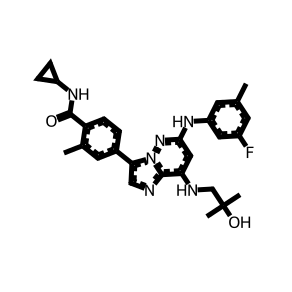 Cc1cc(F)cc(Nc2cc(NCC(C)(C)O)c3ncc(-c4ccc(C(=O)NC5CC5)c(C)c4)n3n2)c1